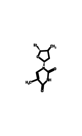 CC[C@H]1O[C@@H](n2cc(C)c(=O)[nH]c2=O)CC1C